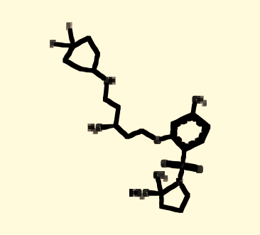 Cc1ccc(S(=O)(=O)N2CCC[C@@]2(C)C(=O)O)c(OCC[C@@H](C)CCNC2CCC(F)(F)CC2)c1